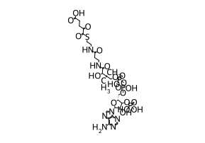 CC(C)(COP(=O)(O)OP(=O)(O)OC[C@H]1O[C@@H](n2cnc3c(N)ncnc32)[C@H](O)[C@@H]1OP(=O)(O)O)[C@@H](O)C(=O)NCCC(=O)NCCSC(=O)C(=O)CCC(=O)O